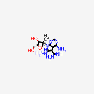 C[C@@H]1[C@H](O)[C@@H](CO)O[C@H]1n1c(NN)c(C(=N)N)c2c(N)ncnc21